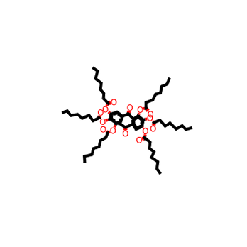 CCCCCCCC(=O)Oc1cc2c(c(OC(=O)CCCCCCC)c1OC(=O)CCCCCCC)C(=O)c1cc(OC(=O)CCCCCCC)c(OC(=O)CCCCCCC)c(OC(=O)CCCCCCC)c1C2=O